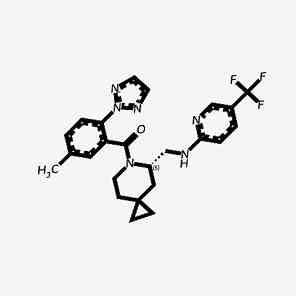 Cc1ccc(-n2nccn2)c(C(=O)N2CCC3(CC3)C[C@H]2CNc2ccc(C(F)(F)F)cn2)c1